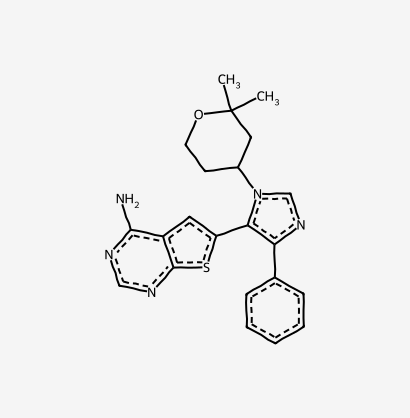 CC1(C)CC(n2cnc(-c3ccccc3)c2-c2cc3c(N)ncnc3s2)CCO1